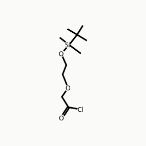 CC(C)(C)[Si](C)(C)OCCOCC(=O)Cl